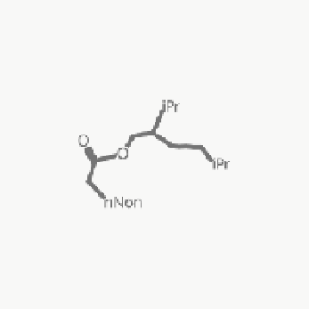 CCCCCCCCCCC(=O)OCC(CCC(C)C)C(C)C